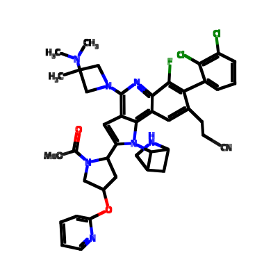 COC(=O)N1CC(Oc2ccccn2)CC1c1cc2c(N3CC(C)(N(C)C)C3)nc3c(F)c(-c4cccc(Cl)c4Cl)c(CCC#N)cc3c2n1C1C2CNC1C2